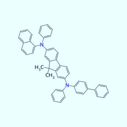 CC1(C)c2cc(N(c3ccccc3)c3ccc(-c4ccccc4)cc3)ccc2-c2ccc(N(c3ccccc3)c3cccc4ccccc34)cc21